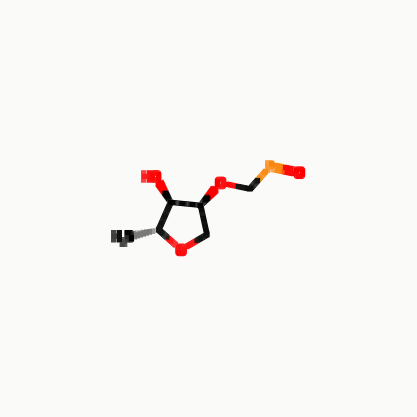 B[C@H]1OC[C@H](OCP=O)[C@@H]1O